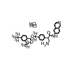 Cl.Cl.[2H]C([2H])([2H])c1ccc(C(=O)OC([2H])([2H])c2ccc(C(CN)C(=O)Nc3ccc4cnccc4c3)cc2)c(C([2H])([2H])[2H])c1